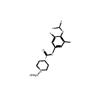 CCCCCCC[Si@H]1CC[C@H](C(=O)Oc2cc(F)c(OC(F)F)c(F)c2)CC1